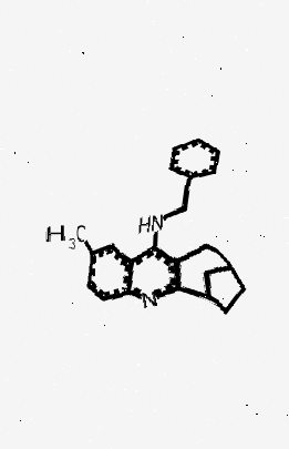 Cc1ccc2nc3c(c(NCc4ccccc4)c2c1)CC1CCC3C1